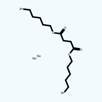 CC(C)CCCCCOC(=O)CCC(=O)OCCCCCC(C)C.[Na].[Na]